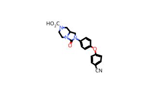 N#Cc1ccc(Oc2ccc(N3CC4CN(C(=O)O)CCN4C3=O)cc2)cc1